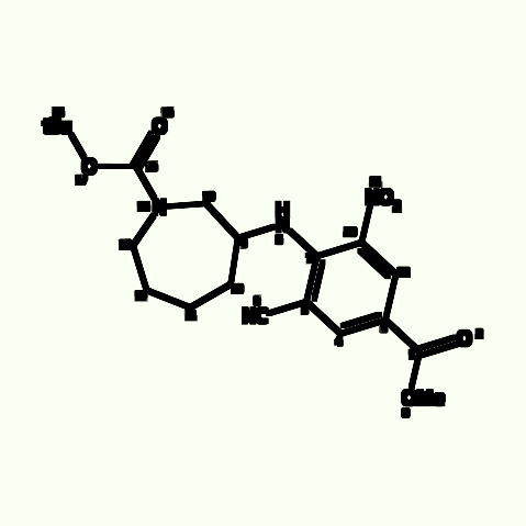 COC(=O)c1cc(C#N)c(NC2CCCCN(C(=O)OC(C)(C)C)C2)c([N+](=O)[O-])c1